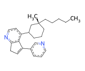 CCCCC[C@]1(C)CCCC(c2ccnc3c2C(c2cccnc2)=CC3)C1